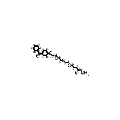 C=CC(=O)CCCOCCOCCOOCOc1ccc(C(=O)c2ccccc2)cc1